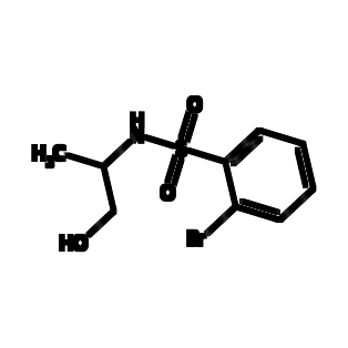 CC(CO)NS(=O)(=O)c1ccccc1Br